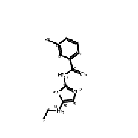 [CH2]c1cccc(C(=O)Nc2ncc(NCC)s2)c1